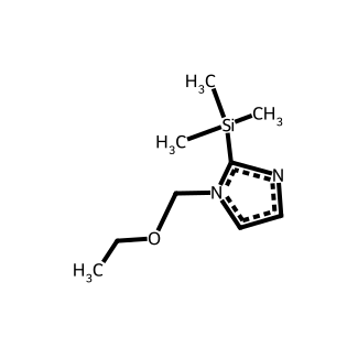 CCOCn1ccnc1[Si](C)(C)C